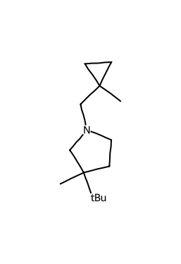 CC1(CN2CCC(C)(C(C)(C)C)C2)CC1